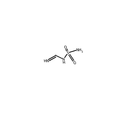 N=[C]NS(N)(=O)=O